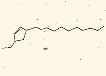 Br.CCCCCCCCCCCN1C=CN(CC)C1